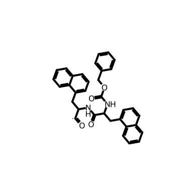 O=[C]C(Cc1cccc2ccccc12)NC(=O)C(Cc1cccc2ccccc12)NC(=O)OCc1ccccc1